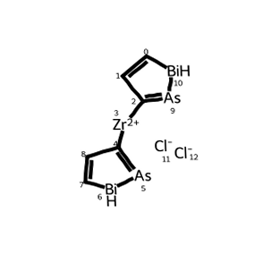 [CH]1=C[C]([Zr+2][C]2=[As][BiH][CH]=C2)=[As][BiH]1.[Cl-].[Cl-]